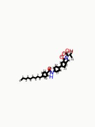 CCCCCCCCCc1ccc(C(=O)Nc2ccc(-c3ccc4c(c3)C(=O)N([C@H](C(=O)O)C(C)C)C4)cc2)cc1